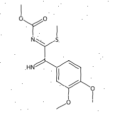 COC(=O)/N=C(\SC)C(=N)c1ccc(OC)c(OC)c1